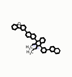 C/C=c1/c(-c2ccc3cc(-c4ccc5oc6ccccc6c5c4)ccc3c2)c2ccccc2c(-c2cccc(-c3ccc4c(c3)C=CCC4)c2)/c1=C/CC